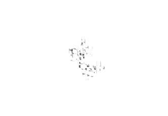 CC(C)(C)NC(c1ccc(Nc2nn(C3(CC#N)CCCOC3)c3cc[nH]c(=O)c23)cc1)C(F)(F)F